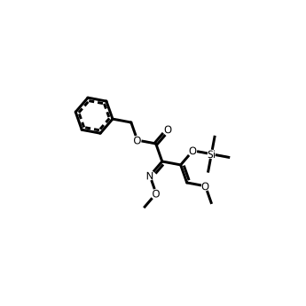 COC=C(O[Si](C)(C)C)C(=NOC)C(=O)OCc1ccccc1